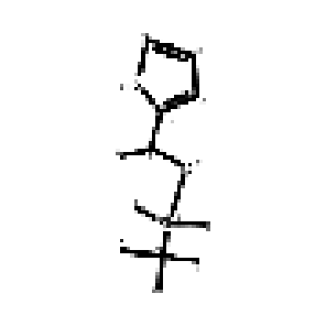 CC(O[Si](C)(C)C(C)(C)C)c1cc[c]s1